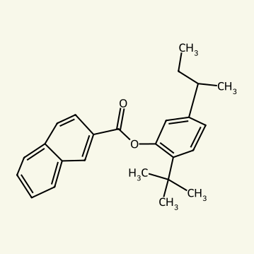 CCC(C)c1ccc(C(C)(C)C)c(OC(=O)c2ccc3ccccc3c2)c1